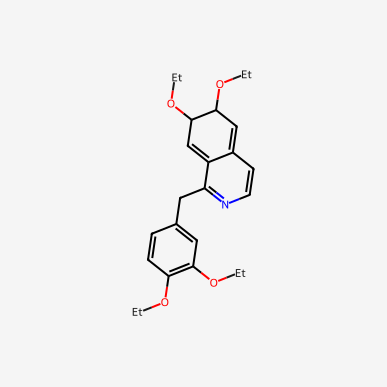 CCOc1ccc(Cc2nccc3c2=CC(OCC)C(OCC)C=3)cc1OCC